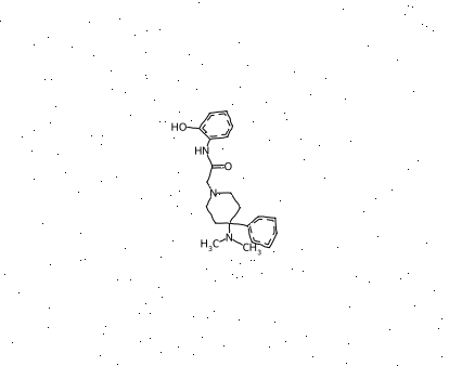 CN(C)C1(c2ccccc2)CCN(CC(=O)Nc2ccccc2O)CC1